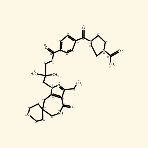 CCc1nn(CC(C)(C)COC(=O)c2ccc(C(=O)N3CCN(C(C)=O)CC3)cc2)c2c1C(=O)NCC1(CCOCC1)C2